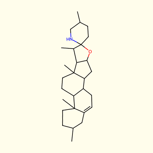 CC1CCC2(NC1)OC1CC3C4CC=C5CC(C)CCC5(C)C4CCC3(C)C1C2C